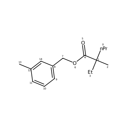 CCCC(C)(CC)C(=O)OCc1cccc(C)c1